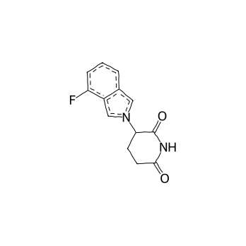 O=C1CCC(n2cc3cccc(F)c3c2)C(=O)N1